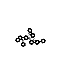 c1ccc(-c2ccc3c(c2)oc2c(N(c4ccc5c6ccc7ccccc7c6n(-c6ccccc6)c5c4)c4cccc5c4sc4ccccc45)cccc23)cc1